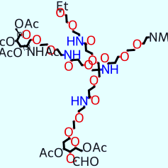 CCOCCOCCNC(=O)CCOCC(COCCC(=O)NCCOCCOC1CC(OC(C)=O)C(OC=O)C(COC(C)=O)O1)(COCCC(=O)NCCOCCOC1O[C@H](COC(C)=O)C(OC(C)=O)C(OC(C)=O)[C@@H]1NC(C)=O)NC(=O)CCOCCOCCNC